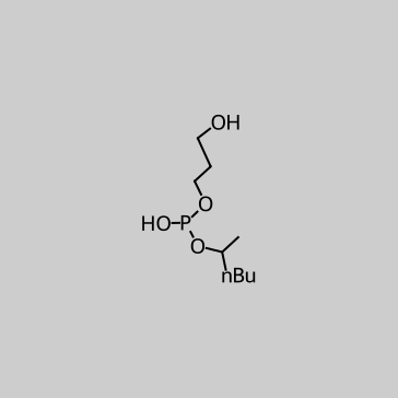 CCCCC(C)OP(O)OCCCO